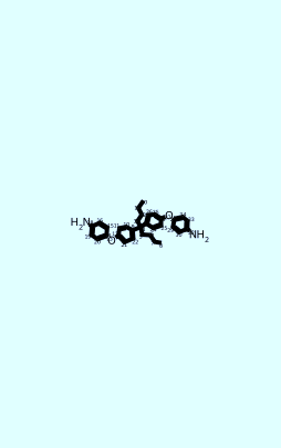 CCCCC(CCCC)(c1ccc(Oc2ccc(N)cc2)cc1)c1ccc(Oc2ccc(N)cc2)cc1